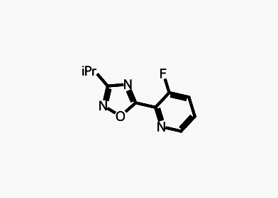 CC(C)c1noc(-c2ncccc2F)n1